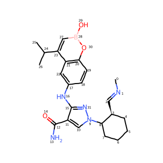 CN=C[C@H]1CCCCC1n1cc(C(N)=O)c(Nc2ccc3c(c2)C(C(C)C)=CB(O)O3)n1